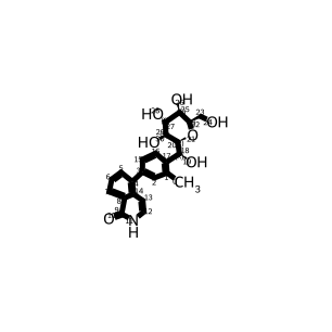 Cc1cc(-c2cccc3c(=O)[nH]ccc23)ccc1[C@@H](O)[C@H]1O[C@H](CO)[C@@H](O)[C@H](O)[C@@H]1O